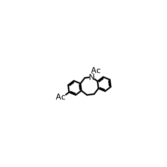 CC(=O)c1ccc2c(c1)CCc1ccccc1N(C(C)=O)C2